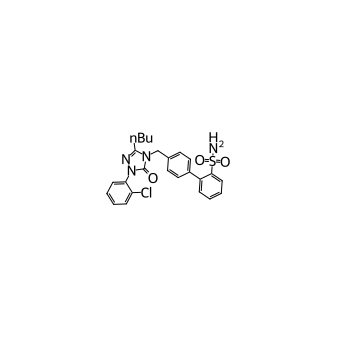 CCCCc1nn(-c2ccccc2Cl)c(=O)n1Cc1ccc(-c2ccccc2S(N)(=O)=O)cc1